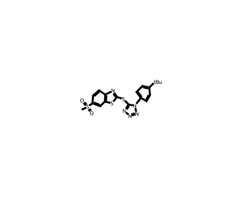 CC(C)(C)c1ccc(-n2nnnc2Sc2nc3ccc(S(C)(=O)=O)cc3s2)cc1